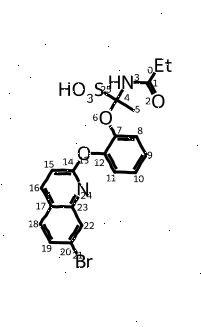 CCC(=O)NC(C)(Oc1ccccc1Oc1ccc2ccc(Br)cc2n1)S(=O)(=O)O